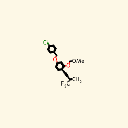 C=C(C#Cc1ccc(OCc2ccc(Cl)cc2)cc1OCOC)C(F)(F)F